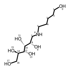 OCCCCCNC[C@H](O)[C@@H](O)[C@H](O)[C@H](O)CO